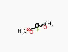 CCOC(=O)CCc1cccc(/C=C/C(C)=O)c1F